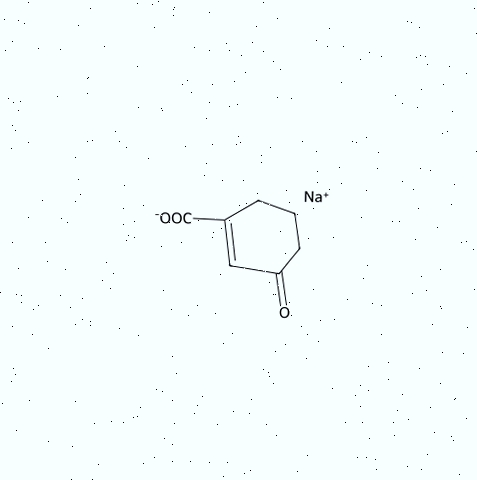 O=C1C=C(C(=O)[O-])CCC1.[Na+]